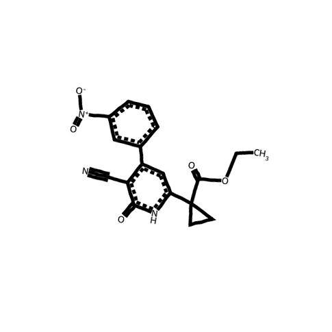 CCOC(=O)C1(c2cc(-c3cccc([N+](=O)[O-])c3)c(C#N)c(=O)[nH]2)CC1